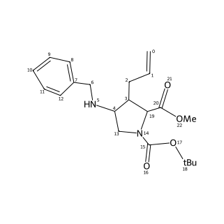 C=CCC1C(NCc2ccccc2)CN(C(=O)OC(C)(C)C)C1C(=O)OC